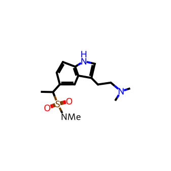 CNS(=O)(=O)C(C)c1ccc2[nH]cc(CCN(C)C)c2c1